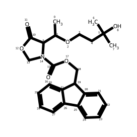 CC(OCCC(C)(C)O)C1C(=O)OCN1C(=O)OCC1c2ccccc2-c2ccccc21